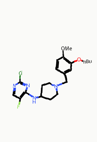 CCCCOc1cc(CN2CCC(Nc3nc(Cl)ncc3F)CC2)ccc1OC